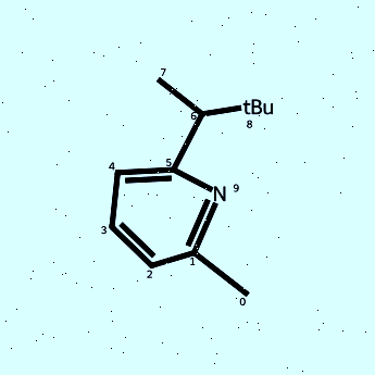 Cc1cccc(C(C)C(C)(C)C)n1